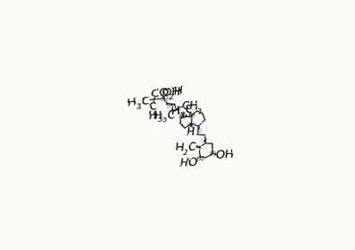 C=C1/C(=C\C=C2/CCC[C@]3(C)[C@@H](C(C)(C)/C=C/[C@H](O)C(C)(C)C(=O)O)CC[C@@H]23)C[C@@H](O)C[C@@H]1O